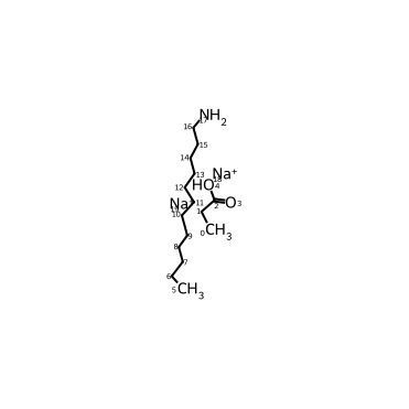 CCC(=O)O.CCCCCCCCCCCCN.[Na+].[Na+]